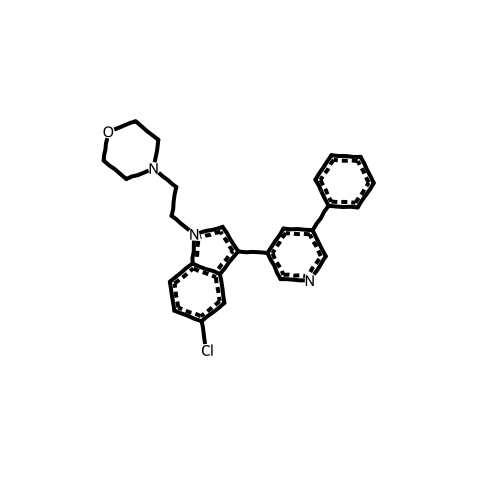 Clc1ccc2c(c1)c(-c1cncc(-c3ccccc3)c1)cn2CCN1CCOCC1